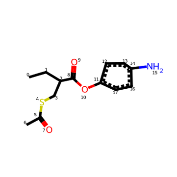 CCC(CSC(C)=O)C(=O)Oc1ccc(N)cc1